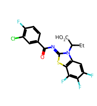 CCC(C(=O)O)n1/c(=N/C(=O)c2ccc(F)c(Cl)c2)sc2c(F)c(F)c(F)cc21